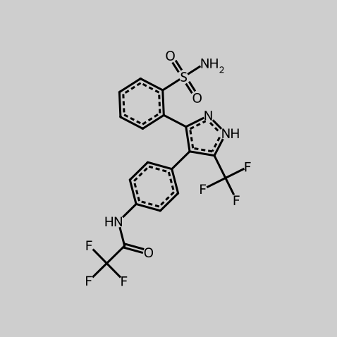 NS(=O)(=O)c1ccccc1-c1n[nH]c(C(F)(F)F)c1-c1ccc(NC(=O)C(F)(F)F)cc1